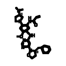 C=CC(=O)Nc1cc(Nc2cc(N3OCC[C@@H]3Cc3ccccc3)ncn2)c(OC)cc1N1CC[C@@H](N(C)C)C1